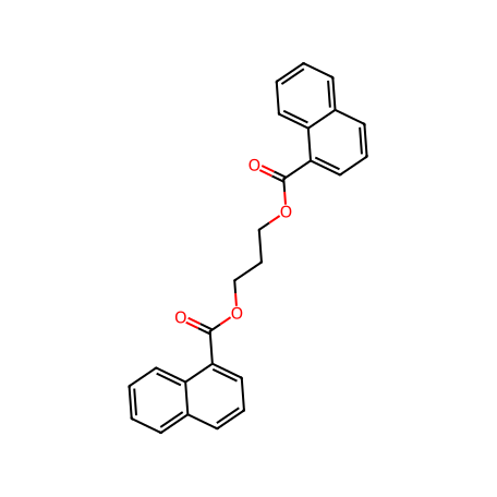 O=C(OCCCOC(=O)c1cccc2ccccc12)c1cccc2ccccc12